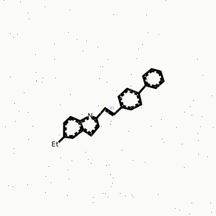 CCc1ccc2nc(/C=C/c3ccc(-c4ccccc4)cc3)ccc2c1